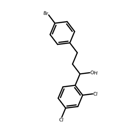 OC(CCc1ccc(Br)cc1)c1ccc(Cl)cc1Cl